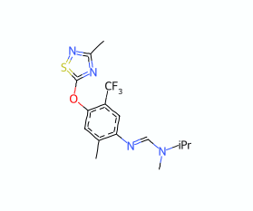 Cc1nsc(Oc2cc(C)c(/N=C/N(C)C(C)C)cc2C(F)(F)F)n1